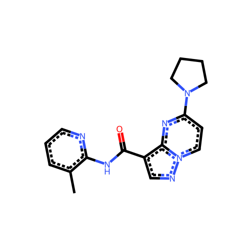 Cc1cccnc1NC(=O)c1cnn2ccc(N3CCCC3)nc12